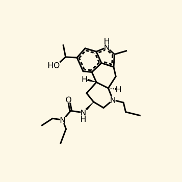 CCCN1C[C@@H](NC(=O)N(CC)CC)C[C@@H]2c3cc(C(C)O)cc4[nH]c(C)c(c34)C[C@H]21